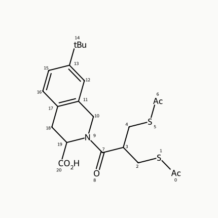 CC(=O)SCC(CSC(C)=O)C(=O)N1Cc2cc(C(C)(C)C)ccc2CC1C(=O)O